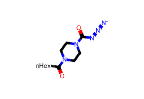 CCCCCCC(=O)N1CCN(C(=O)N=[N+]=[N-])CC1